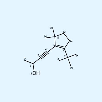 CC(O)C#CC1=C(C(C)(C)C)CCC1(C)C